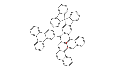 c1ccc2c(c1)-c1ccccc1C21c2ccccc2-c2cc(-c3cccc4ccccc34)c(N(c3ccc4c(ccc5ccccc54)c3)c3ccc4c5ccccc5c5ccccc5c4c3)cc21